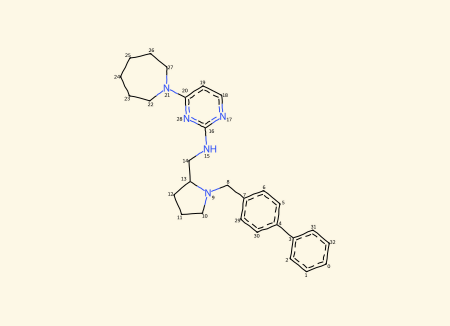 c1ccc(-c2ccc(CN3CCCC3CNc3nccc(N4CCCCCC4)n3)cc2)cc1